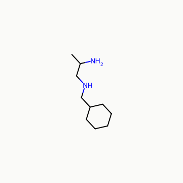 CC(N)CNCC1CCCCC1